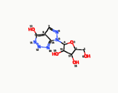 OCC1OC(n2ncc3c(O)nnnc32)C(O)C1O